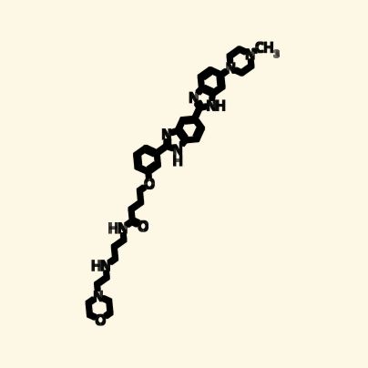 CN1CCN(c2ccc3nc(-c4ccc5[nH]c(-c6cccc(OCCCC(=O)NCCCNCCN7CCOCC7)c6)nc5c4)[nH]c3c2)CC1